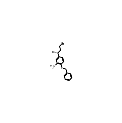 O=[N+]([O-])c1cc([C@H](O)CCBr)ccc1OCc1ccccc1